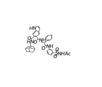 CC(=O)NS(=O)(=O)c1cccc(NC(=O)C(CNC(=O)c2cc3cc[nH]c3cc2C(=O)NCC23CC4CC(CC(C4)C2)C3)c2ccccc2)c1